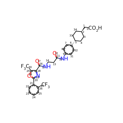 O=C(O)C[C@H]1CC[C@H](c2ccc(NC(=O)CCNC(=O)c3nc(-c4ccccc4C(F)(F)F)oc3C(F)(F)F)cc2)CC1